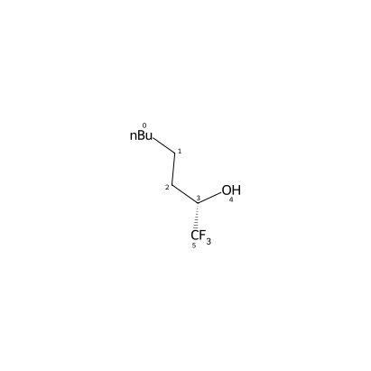 CCCCCC[C@H](O)C(F)(F)F